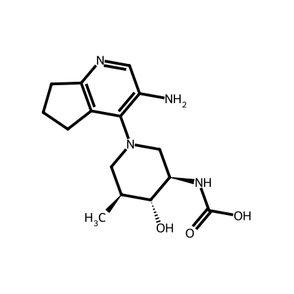 C[C@H]1CN(c2c(N)cnc3c2CCC3)C[C@@H](NC(=O)O)[C@@H]1O